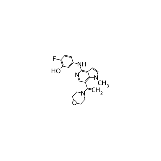 C=C(c1cnc(Nc2ccc(F)c(O)c2)c2ccn(C)c12)N1CCOCC1